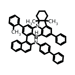 Cc1ccccc1-c1cc(-c2c(Nc3ccc(-c4ccccc4)cc3)ccc3ccccc23)c2c(c1)N1c3c(cc(-c4ccccc4)cc3C3(C)CCCCC13C)B2